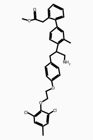 COC(=O)Cc1ccccc1-c1ccc(C(CN)Cc2ccc(OCCOc3c(Cl)cc(C)cc3Cl)cc2)c(C)c1